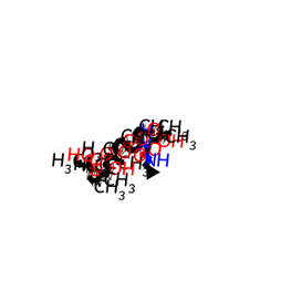 CCC(C(=O)[C@@H](C)[C@@H](O)[C@H](C)[C@@H]1O[C@@H]([C@@H](CC)C(=O)O)CC[C@@H]1C)[C@H]1O[C@]2(C=CC(NC(=O)C(=O)NCC3CC3)[C@]3(CC[C@@](C)([C@H]4CC[C@](O)(CC)[C@H](C)O4)O3)O2)[C@H](C)C[C@@H]1C